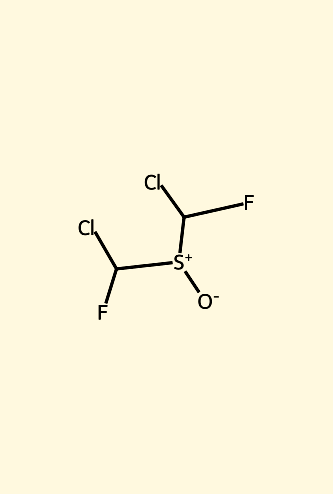 [O-][S+](C(F)Cl)C(F)Cl